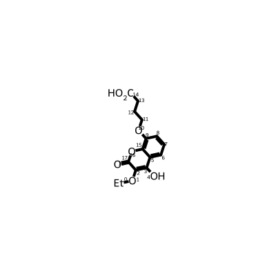 CCOc1c(O)c2cccc(OCCCC(=O)O)c2oc1=O